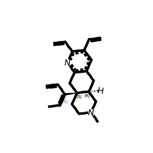 C=C/C(=C\C)[C@]12CCN(C)C[C@@H]1Cc1cc(C=C)c(C=C)nc1C2